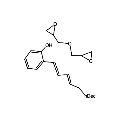 C(OCC1CO1)C1CO1.CCCCCCCCCCCC=CC=Cc1ccccc1O